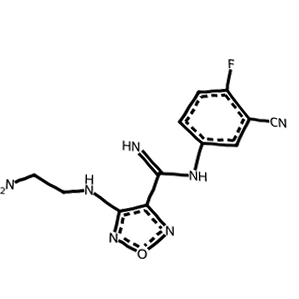 N#Cc1cc(NC(=N)c2nonc2NCCN)ccc1F